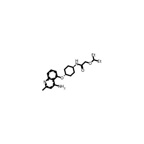 CCC(CC)OCC(=O)N[C@H]1CC[C@H](Oc2cccc3nc(C)cc(N)c23)CC1